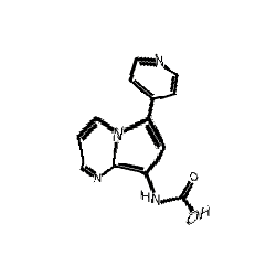 O=C(O)Nc1cc(-c2ccncc2)n2cccnc12